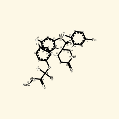 CCC(CC)(Oc1ccc(Cl)cc1[C@H]1CC(=O)N[C@@H](c2cc(F)ccc2C)[C@]12C(=O)Nc1cc(Cl)ccc12)C(=O)NOC